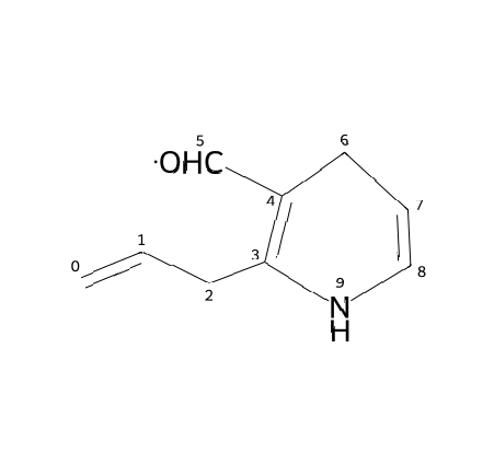 C=CCC1=C([C]=O)CC=CN1